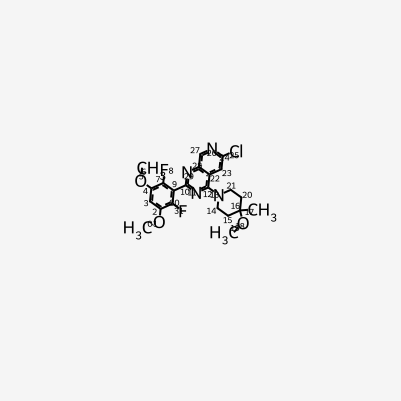 COc1cc(OC)c(F)c(-c2nc(N3CCC(C)(OC)CC3)c3cc(Cl)ncc3n2)c1F